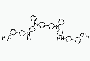 Cc1cccc(-c2ccc(Nc3ccc(N(c4ccccc4)c4ccc(-c5ccc(N(c6ccccc6)c6ccc(Nc7ccc(-c8cccc(C)c8)cc7)cc6)cc5)cc4)cc3)cc2)c1